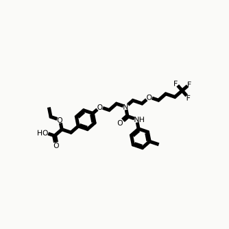 CCOC(Cc1ccc(OCCN(CCOCCCC(F)(F)F)C(=O)Nc2cccc(C)c2)cc1)C(=O)O